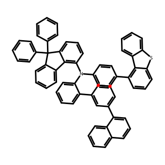 c1ccc(C2(c3ccccc3)c3ccccc3-c3c(N(c4ccc(-c5cccc6sc7ccccc7c56)cc4)c4ccccc4-c4cccc(-c5cccc6ccccc56)c4)cccc32)cc1